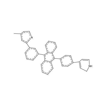 Cc1ccnc(-c2cccc(-c3c4ccccc4c(-c4ccc(C5=CCNC=C5)cc4)c4ccccc34)c2)c1